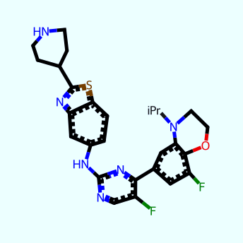 CC(C)N1CCOc2c(F)cc(-c3nc(Nc4ccc5sc(C6CCNCC6)nc5c4)ncc3F)cc21